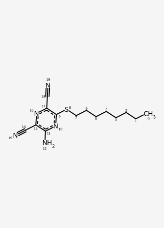 CCCCCCCCSc1nc(N)c(C#N)nc1C#N